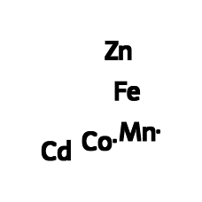 [Cd].[Co].[Fe].[Mn].[Zn]